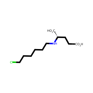 O=C(O)CC[C@H](NCCCCCCCl)C(=O)O